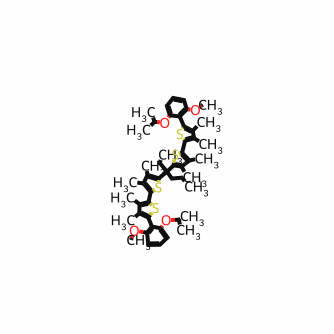 CCCC(CC)(c1sc(-c2sc(-c3c(OC)cccc3OC(C)C)c(C)c2C)c(C)c1C)c1sc(-c2sc(-c3c(OC)cccc3OC(C)C)c(C)c2C)c(C)c1C